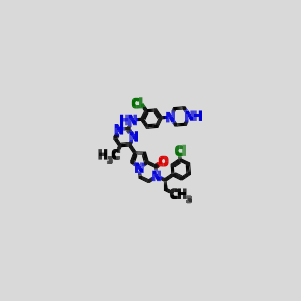 CC[C@H](c1cccc(Cl)c1)N1CCn2cc(-c3nc(Nc4ccc(N5CCNCC5)cc4Cl)ncc3C)cc2C1=O